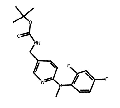 CN(c1ccc(CNC(=O)OC(C)(C)C)cn1)c1ccc(F)cc1F